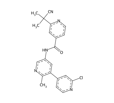 Cc1ncc(NC(=O)c2ccnc(C(C)(C)C#N)c2)cc1-c1ccnc(Cl)c1